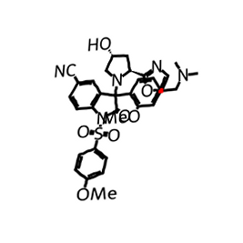 COc1ccc(S(=O)(=O)N2C(=O)C(c3ccc(CN(C)C)cc3OC)(N3C[C@H](O)C[C@H]3c3ncco3)c3cc(C#N)ccc32)cc1